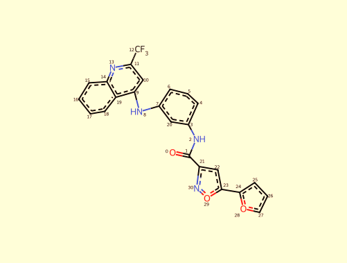 O=C(Nc1cccc(Nc2cc(C(F)(F)F)nc3ccccc23)c1)c1cc(-c2ccco2)on1